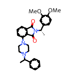 COc1ccc([C@H](C)N2C(=O)c3cccc(N4CCN(C(C)c5ccccc5)CC4)c3C2=O)cc1OC